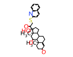 CC12CCC(=O)C=C1CCC1C2C(=O)CC2(C)C1CC[C@]2(O)C(=O)CSc1ccc2ccccc2n1